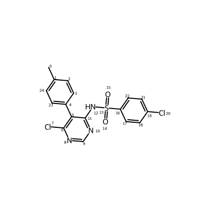 Cc1ccc(-c2c(Cl)ncnc2NS(=O)(=O)c2ccc(Cl)cc2)cc1